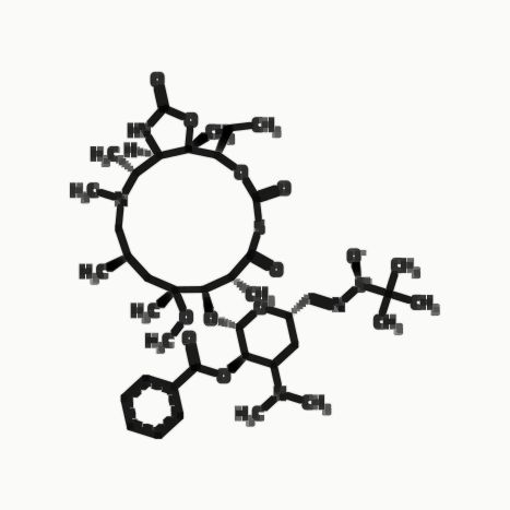 CC[C@H]1OC(=O)SC(=O)[C@H](C)[C@@H](O[C@@H]2O[C@H](/C=N/[S@@+]([O-])C(C)(C)C)CC(N(C)C)[C@H]2OC(=O)c2ccccc2)[C@](C)(OC)C[C@@H](C)CN(C)[C@H](C)[C@H]2NC(=O)O[C@@]21C